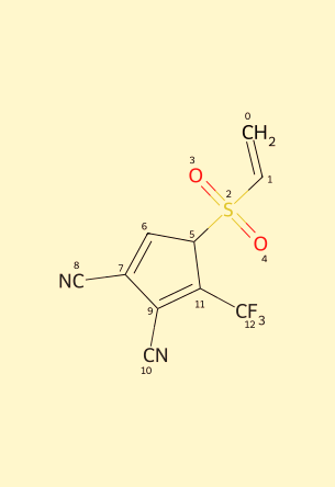 C=CS(=O)(=O)C1C=C(C#N)C(C#N)=C1C(F)(F)F